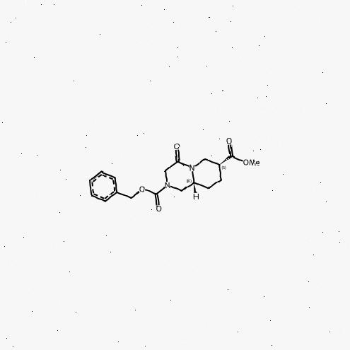 COC(=O)[C@H]1CC[C@@H]2CN(C(=O)OCc3ccccc3)CC(=O)N2C1